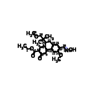 CCOC(=O)c1cn2c(cc1=O)-c1cc(OC)c(/C=N/O)cc1CC2C(C)(C)COC